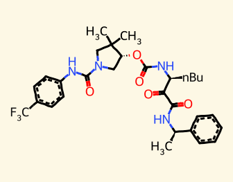 CCCC[C@H](NC(=O)O[C@@H]1CN(C(=O)Nc2ccc(C(F)(F)F)cc2)CC1(C)C)C(=O)C(=O)N[C@H](C)c1ccccc1